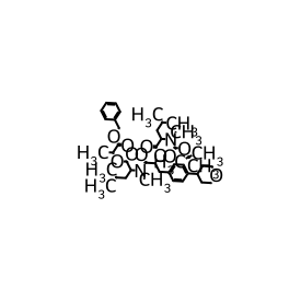 CC(C)CC(C(=O)OC(Cc1ccc(C2CCOCC2)cc1)C(=O)N(C)C(CC(C)C)C(=O)OC(C)C(=O)OCc1ccccc1)N(C)C(=O)OC(C)(C)C